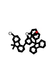 CC1(C)c2cc(Cl)ccc2-c2c(-c3cc(C4(c5ccccc5)c5ccccc5-c5ccccc54)c4c(c3)oc3ccccc34)cccc21